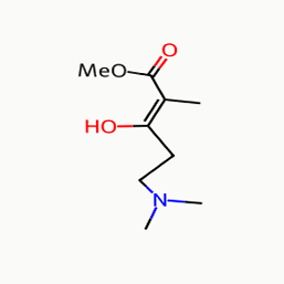 COC(=O)C(C)=C(O)CCN(C)C